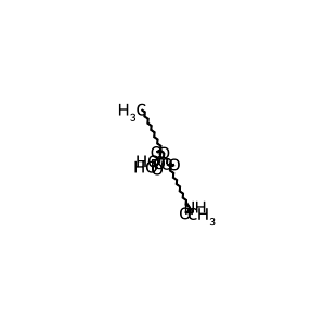 CCCCCCCCCCCCC(=O)O[C@@H](COC(=O)CCCCCCCCCCCNC(C)=O)COP(=O)(O)O